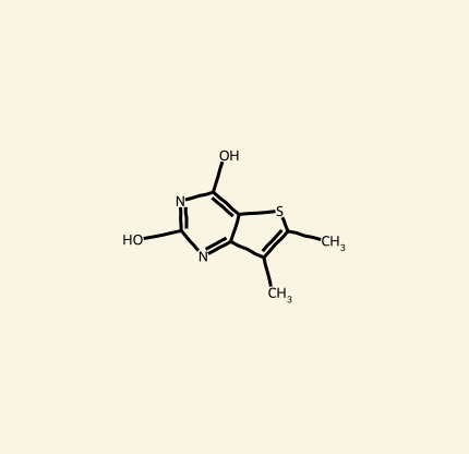 Cc1sc2c(O)nc(O)nc2c1C